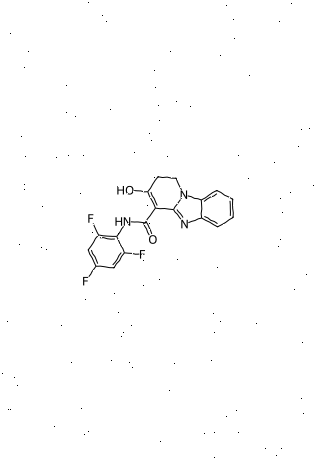 O=C(Nc1c(F)cc(F)cc1F)C1=C(O)CCn2c1nc1ccccc12